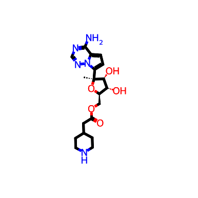 C[C@@]1(c2ccc3c(N)ncnn23)O[C@H](COC(=O)CC2CCNCC2)[C@@H](O)[C@H]1O